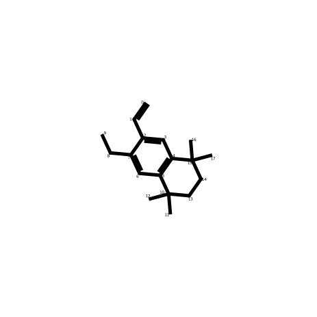 C=Cc1cc2c(cc1CC)C(C)(C)CCC2(C)C